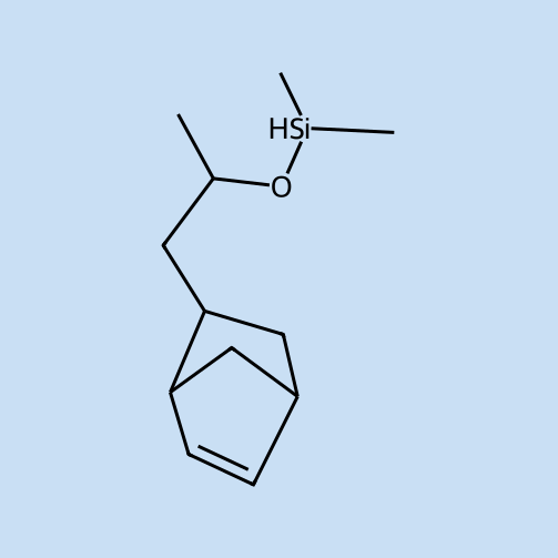 CC(CC1CC2C=CC1C2)O[SiH](C)C